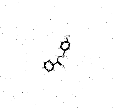 N#Cc1ccc(SOC(=O)c2ccccc2)cc1